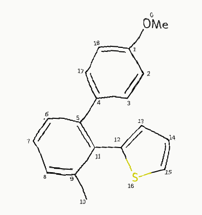 COc1ccc(-c2[c]ccc(C)c2-c2cccs2)cc1